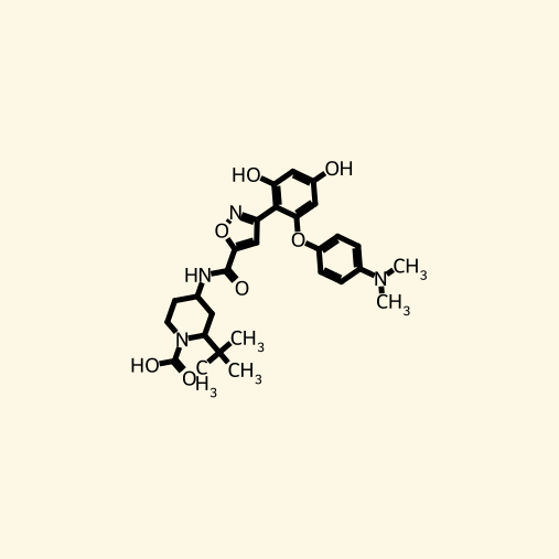 CN(C)c1ccc(Oc2cc(O)cc(O)c2-c2cc(C(=O)NC3CCN(C(=O)O)C(C(C)(C)C)C3)on2)cc1